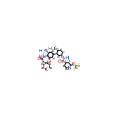 Cc1ccc(NC(=O)c2ccnc(OC(F)F)c2)cc1-c1cc(N)c2c(c1)OC1(CCOCC1)CC(=O)N2